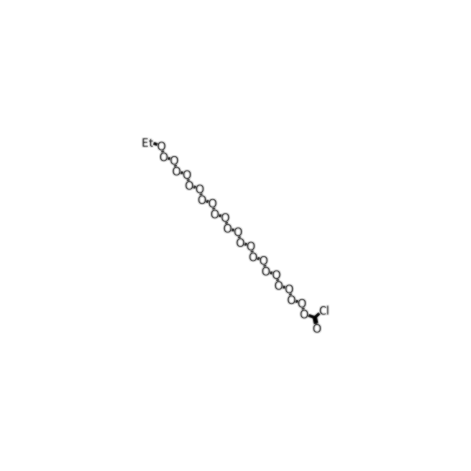 CCOOOOOOOOOOOOOOOOOOOOOOOOC(=O)Cl